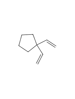 C=CC1(C=C)CCCC1